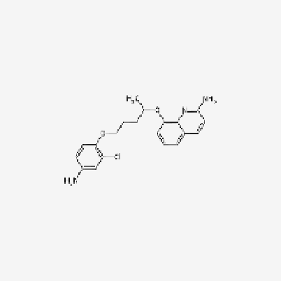 CC(CCCOc1ccc(N)cc1Cl)Oc1cccc2ccc(N)nc12